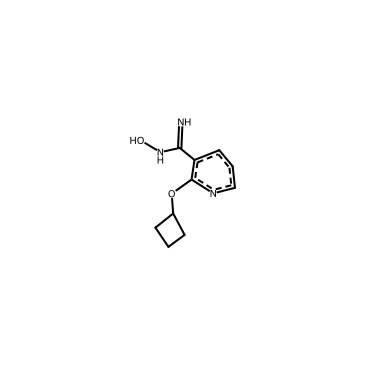 N=C(NO)c1cccnc1OC1CCC1